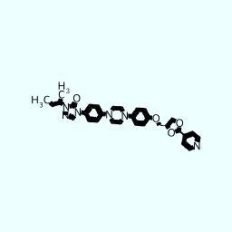 CCC(C)n1ncn(-c2ccc(N3CCN(c4ccc(OC[C@@H]5CO[C@@H](c6ccncc6)O5)cc4)CC3)cc2)c1=O